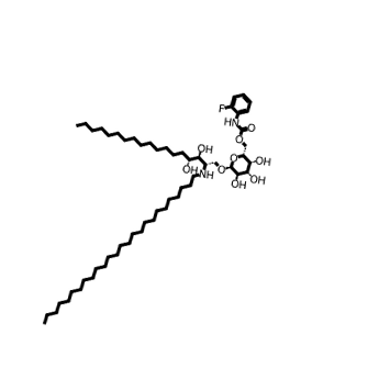 CCCCCCCCCCCCCCCCCCCCCCCCCCN[C@@H](CO[C@H]1O[C@H](COC(=O)Nc2ccccc2F)[C@H](O)[C@H](O)[C@H]1O)[C@H](O)[C@H](O)CCCCCCCCCCCCCC